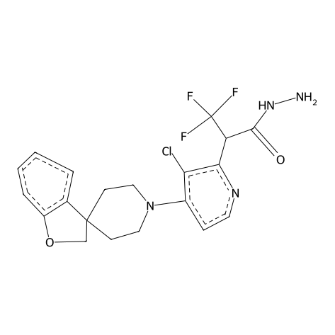 NNC(=O)C(c1nccc(N2CCC3(CC2)COc2ccccc23)c1Cl)C(F)(F)F